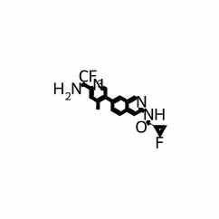 Cc1cc([C@@H](N)C(F)(F)F)ncc1-c1ccc2cc(NC(=O)[C@@H]3C[C@@H]3F)ncc2c1